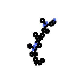 CC1(C)c2ccc(-c3ccc(-c4cc(-c5cccc6cc(-c7cc8ccccc8c8c7C(C)(C)c7ccc(-c9ccc(-c%10cc(-c%11ccc%12ccncc%12c%11)nc(-c%11ccccc%11)n%10)c%10ccccc9%10)cc7-8)cnc56)nc(-c5ccccc5)n4)c4ccccc34)cc2-c2c1ccc1ccccc21